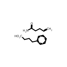 C=CCCC(N)=O.O=C(O)CCCc1ccccc1